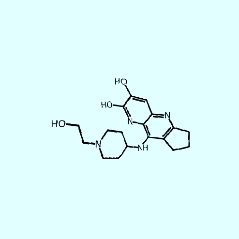 OCCN1CCC(Nc2c3c(nc4cc(O)c(O)nc24)CCC3)CC1